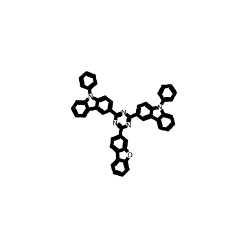 c1ccc(-n2c3ccccc3c3cc(-c4nc(-c5ccc6c(c5)oc5ccccc56)nc(-c5ccc6c(c5)c5ccccc5n6-c5ccccc5)n4)ccc32)cc1